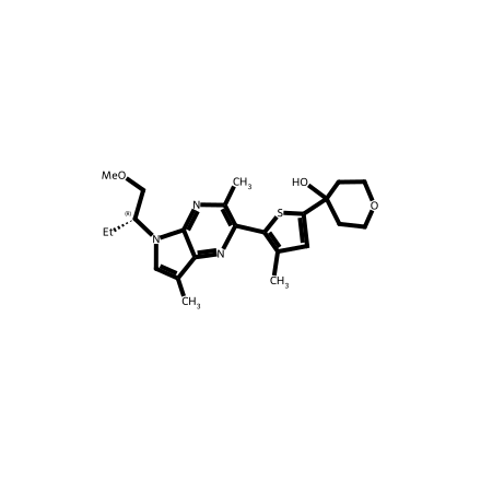 CC[C@H](COC)n1cc(C)c2nc(-c3sc(C4(O)CCOCC4)cc3C)c(C)nc21